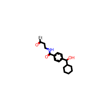 CCC(=O)CCNC(=O)c1ccc(C(O)C2CCCCC2)cc1